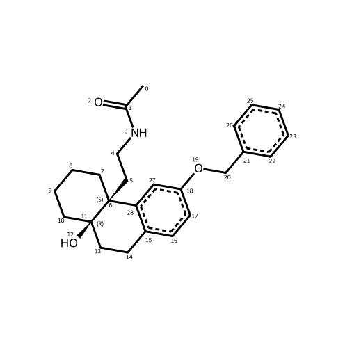 CC(=O)NCC[C@]12CCCC[C@@]1(O)CCc1ccc(OCc3ccccc3)cc12